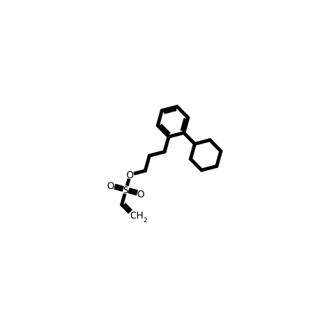 C=CS(=O)(=O)OCCCc1ccccc1C1CCCCC1